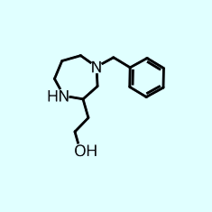 OCCC1CN(Cc2ccccc2)CCCN1